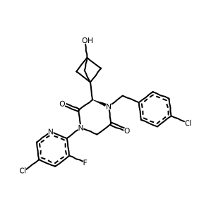 O=C1[C@@H](C23CC(O)(C2)C3)N(Cc2ccc(Cl)cc2)C(=O)CN1c1ncc(Cl)cc1F